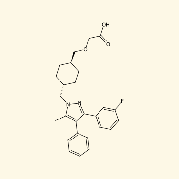 Cc1c(-c2ccccc2)c(-c2cccc(F)c2)nn1C[C@H]1CC[C@H](COCC(=O)O)CC1